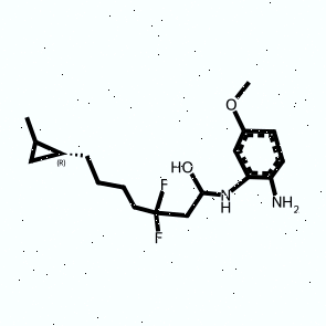 COc1ccc(N)c(NC(O)CC(F)(F)CCCC[C@@H]2CC2C)c1